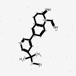 CCSC(C)(C)c1cncc(-c2ccc3c(c2)CCC(=N)N3C=N)c1